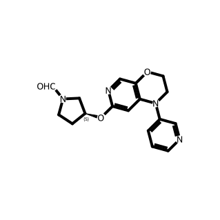 O=CN1CC[C@H](Oc2cc3c(cn2)OCCN3c2cccnc2)C1